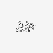 COC(c1ccc(Cl)cc1Cl)C(C)NC(=O)c1c(C(F)F)nn(C)c1F